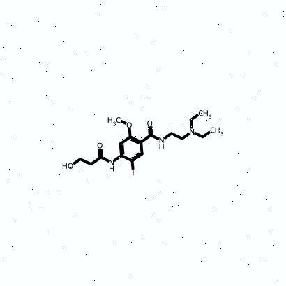 CCN(CC)CCNC(=O)c1cc(I)c(NC(=O)CCO)cc1OC